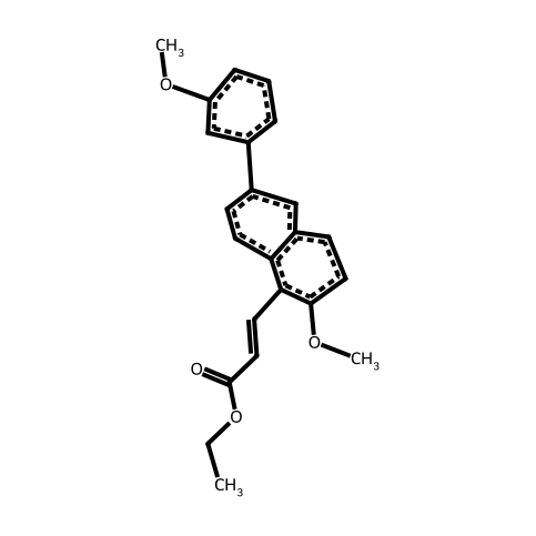 CCOC(=O)C=Cc1c(OC)ccc2cc(-c3cccc(OC)c3)ccc12